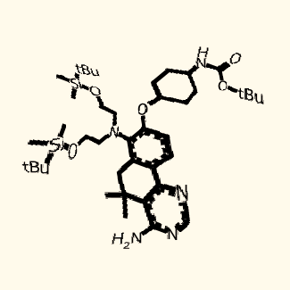 CC(C)(C)OC(=O)NC1CCC(Oc2ccc3c(c2N(CCO[Si](C)(C)C(C)(C)C)CCO[Si](C)(C)C(C)(C)C)CC(C)(C)c2c(N)ncnc2-3)CC1